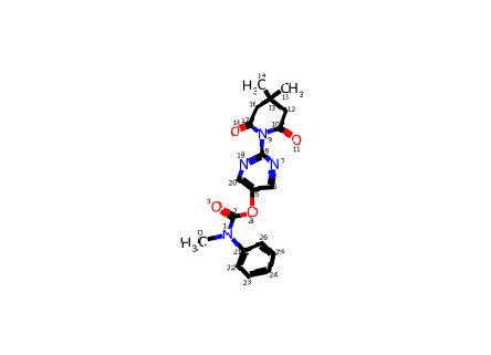 CN(C(=O)Oc1cnc(N2C(=O)CC(C)(C)CC2=O)nc1)c1ccccc1